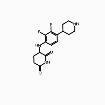 O=C1CCC(Nc2ccc(C3CCNCC3)c(F)c2F)C(=O)N1